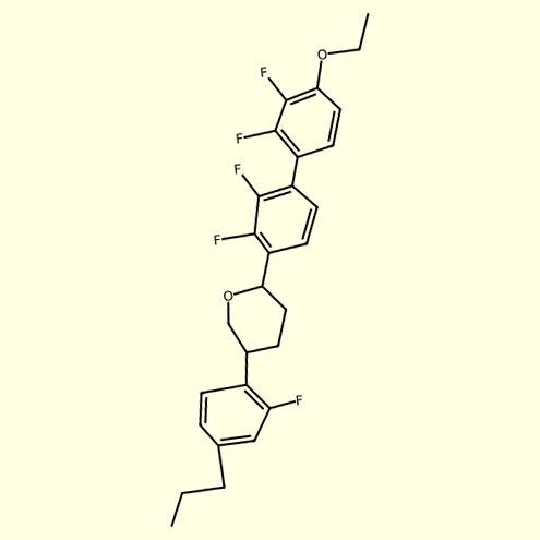 CCCc1ccc(C2CCC(c3ccc(-c4ccc(OCC)c(F)c4F)c(F)c3F)OC2)c(F)c1